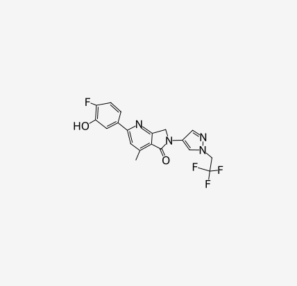 Cc1cc(-c2ccc(F)c(O)c2)nc2c1C(=O)N(c1cnn(CC(F)(F)F)c1)C2